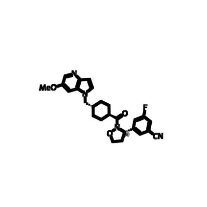 COc1cnc2ccn(C[C@H]3CC[C@H](C(=O)N4OCC[C@H]4c4cc(F)cc(C#N)c4)CC3)c2c1